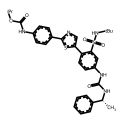 CC(C)OC(=O)Nc1ccc(-c2ncc(-c3ccc(NC(=O)N[C@H](C)c4ccccc4)cc3S(=O)(=O)NC(C)(C)C)s2)cc1